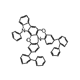 c1ccc(-c2ccccc2-c2ccc3c(c2)Oc2cc4c5ccccc5n(-c5ccccc5)c4c4c2N3c2ccc(-c3ccccc3-c3ccccc3)cc2O4)cc1